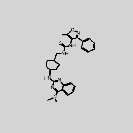 Cc1onc(-c2ccccc2)c1NC(=S)NCC1CCC(Nc2nc(N(C)C)c3ccccc3n2)CC1